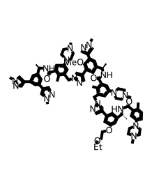 CCOCCOc1cc(-c2cnn(Cc3cc(N4CCN(C)CC4)cc(C(=O)N[C@H](C)c4cc(-c5cnn(C)c5)c(OC)c(-c5cnn(Cc6cc(N7CCN(C)CC7)cc(C(=O)N[C@H](C)c7cc(-c8cnn(C)c8)cc(-c8cnn(C)c8)c7)c6C)c5)c4)c3C)c2)cc([C@@H](C)NC(=O)c2cc(N3CCN(C)CC3)ccc2C)c1